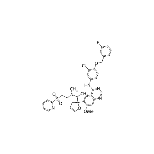 COc1cc2ncnc(Nc3ccc(OCc4cccc(F)c4)c(Cl)c3)c2cc1C1(C(C)N(C)CCS(=O)(=O)c2ccccn2)CC=CO1